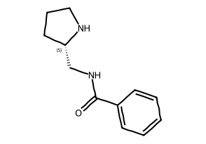 O=C(NC[C@@H]1CCCN1)c1ccccc1